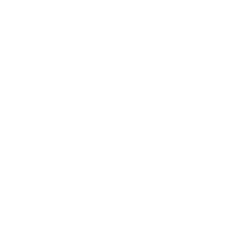 S=P(c1ccccc1)(c1ccccc1)c1cc2c(c3ccccc13)Oc1ccccc1O2